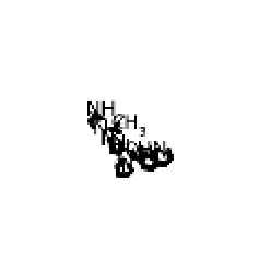 Cc1cn2nc([C@@H]3CCCCN3C(=O)C3=NC4NC=CC=C4C=C3)cc2nc1N1CC[C@H](N)C1